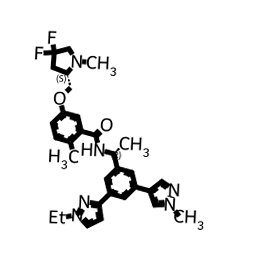 CCn1ccc(-c2cc(-c3cnn(C)c3)cc([C@@H](C)NC(=O)c3cc(OC[C@@H]4CC(F)(F)CN4C)ccc3C)c2)n1